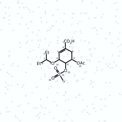 CCC(CC)OC1C=C(C(=O)O)CC(OC(C)=O)C1OS(C)(=O)=O